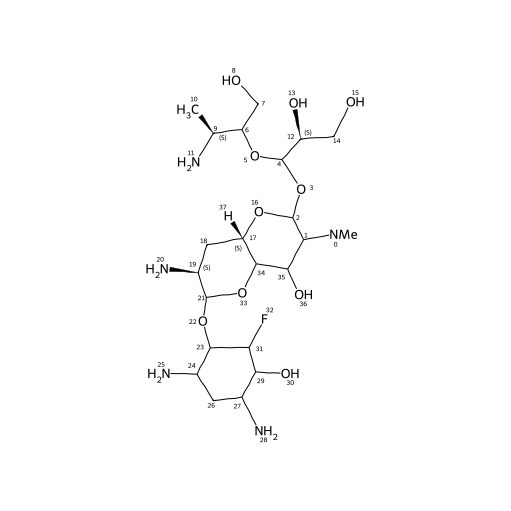 CNC1C(OC(OC(CO)[C@H](C)N)[C@@H](O)CO)O[C@H]2C[C@H](N)C(OC3C(N)CC(N)C(O)C3F)OC2C1O